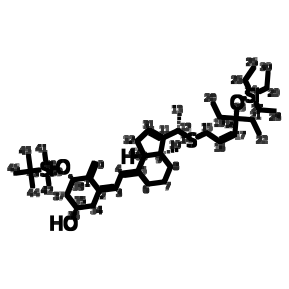 C=C1C(=CC=C2CCC[C@]3(C)C([C@H](C)SC/C=C\C(CC)(CC)O[Si](CC)(CC)CC)=CC[C@@H]23)C[C@@H](O)C[C@@H]1O[Si](C)(C)C(C)(C)C